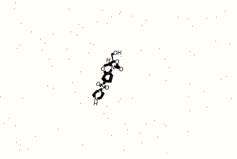 O=C1O[C@H](CO)[C@@H]2COc3cc(S(=O)(=O)N4CCNCC4)ccc3N12